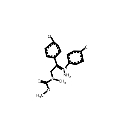 COC(=O)N(C)CC(c1ccc(Cl)cc1)=[N+](N)c1ccc(Cl)cc1